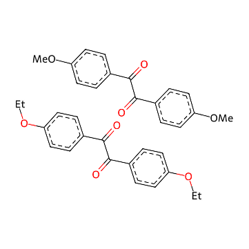 CCOc1ccc(C(=O)C(=O)c2ccc(OCC)cc2)cc1.COc1ccc(C(=O)C(=O)c2ccc(OC)cc2)cc1